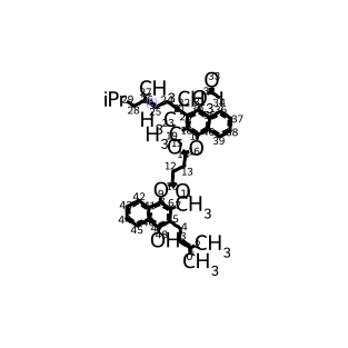 CC(C)=CCc1c(C)c(OC(=O)CCC(=O)Oc2c(C)c(C(C)(C)C/C=C(\C)CC(C)C)c(OC(=O)I)c3ccccc23)c2ccccc2c1O